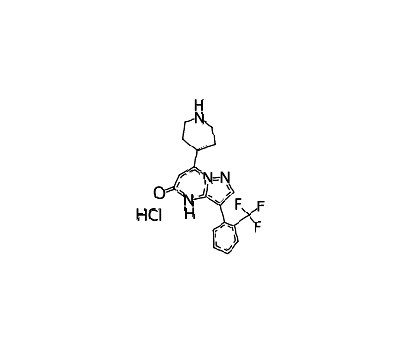 Cl.O=c1cc(C2CCNCC2)n2ncc(-c3ccccc3C(F)(F)F)c2[nH]1